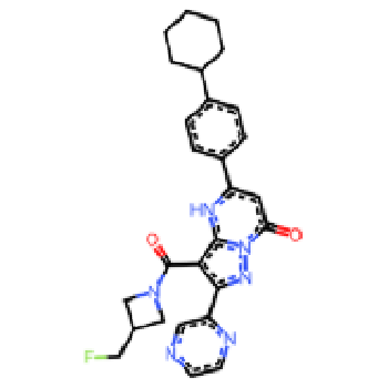 O=C(c1c(-c2cnccn2)nn2c(=O)cc(-c3ccc(C4CCCCC4)cc3)[nH]c12)N1CC(CF)C1